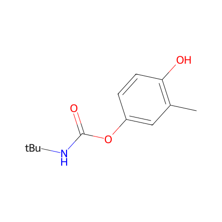 Cc1cc(OC(=O)NC(C)(C)C)ccc1O